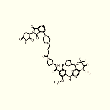 COc1cc(C(=O)N[C@H]2CCN(C(=O)CCCN3CCN(c4cccc5c4C(=O)N(C4CCC(=O)NC4=O)C5=O)CC3)C2)c(F)cc1Nc1ncc2c(n1)N(C1CCCC1)CC(F)(F)C(=O)N2C